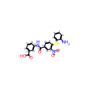 Nc1ccccc1Sc1ccc(C(=O)Nc2cccc(C(=O)O)c2)cc1[N+](=O)[O-]